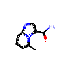 Cc1cccc2ncc(C(N)=O)n12